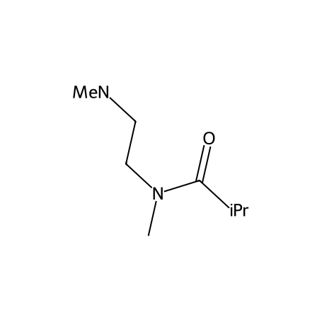 CNCCN(C)C(=O)C(C)C